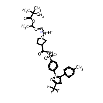 Cc1ccc(-c2cc(C(F)(F)F)nn2-c2ccc(S(=O)(=O)NC(=O)C3CCN(/[N+]([O-])=N\OC(C)OC(=O)C(C)(C)C)C3)cc2)cc1